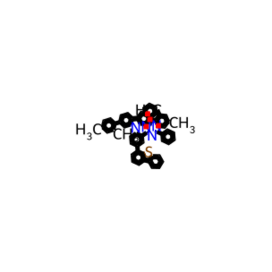 Cc1ccc(-c2ccc3c4ccc(-c5ccc(C)cc5C)cc4n(-c4ccc(-c5cccc6c5sc5ccccc56)cc4-c4nc(-c5ccccc5)nc(-c5ccccc5)n4)c3c2)c(C)c1